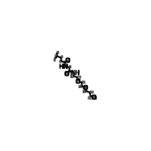 CC(C)CCC(=O)NCC(=O)NCCOCCOCCC=O